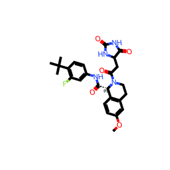 COc1ccc2c(c1)CCN(C(=O)CC1NC(=O)NC1=O)[C@H]2C(=O)Nc1ccc(C(C)(C)C)c(F)c1